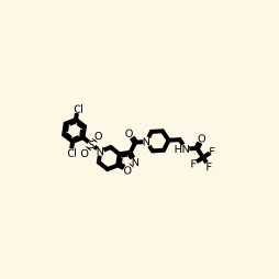 O=C(c1noc2c1CN(S(=O)(=O)c1cc(Cl)ccc1Cl)CC2)N1CCC(CNC(=O)C(F)(F)F)CC1